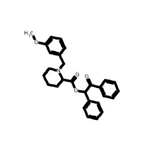 COc1cccc(CN2CCCCC2C(=O)OC(C(=O)c2ccccc2)c2ccccc2)c1